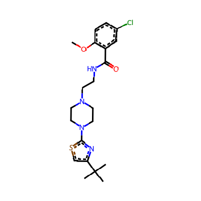 COc1ccc(Cl)cc1C(=O)NCCN1CCN(c2nc(C(C)(C)C)cs2)CC1